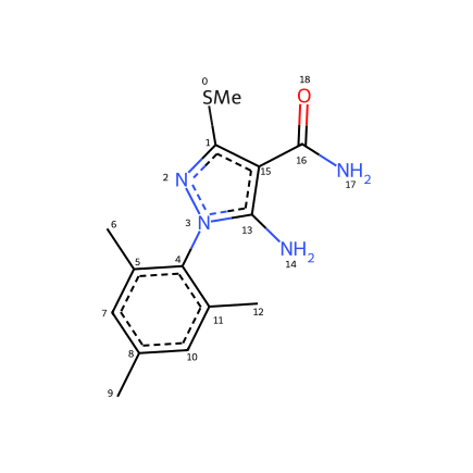 CSc1nn(-c2c(C)cc(C)cc2C)c(N)c1C(N)=O